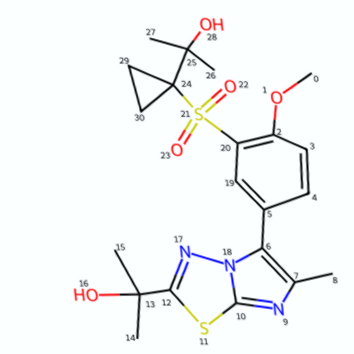 COc1ccc(-c2c(C)nc3sc(C(C)(C)O)nn23)cc1S(=O)(=O)C1(C(C)(C)O)CC1